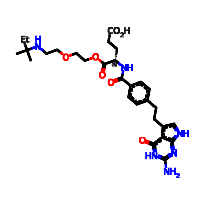 CCC(C)(C)NCCOCCOC(=O)[C@H](CCC(=O)O)NC(=O)c1ccc(CCc2c[nH]c3nc(N)[nH]c(=O)c23)cc1